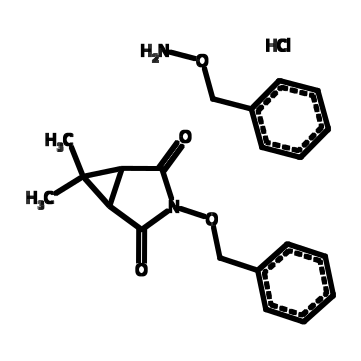 CC1(C)C2C(=O)N(OCc3ccccc3)C(=O)C21.Cl.NOCc1ccccc1